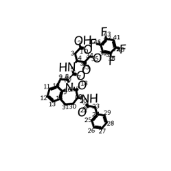 O=C(O)CC(NC(=O)[C@@H]1Cc2cccc3c2N1C(=O)[C@@H](NC(=O)Cc1ccccc1)CC3)C(=O)COc1c(F)c(F)cc(F)c1F